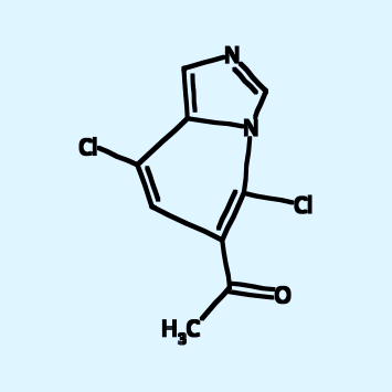 CC(=O)c1cc(Cl)c2cncn2c1Cl